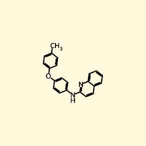 Cc1ccc(Oc2ccc(Nc3ccc4ccccc4n3)cc2)cc1